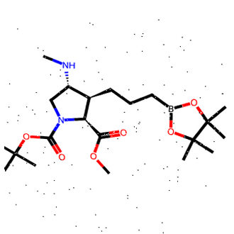 CN[C@H]1CN(C(=O)OC(C)(C)C)[C@H](C(=O)OC)[C@@H]1CCCB1OC(C)(C)C(C)(C)O1